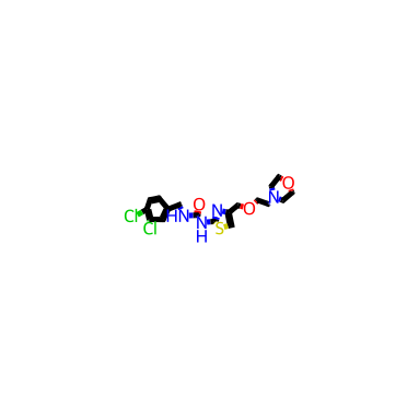 O=C(NCc1ccc(Cl)c(Cl)c1)Nc1nc(COCCN2CCOCC2)cs1